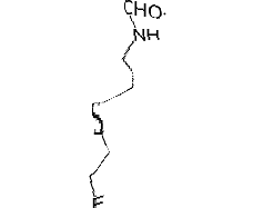 O=[C]NCCSCCF